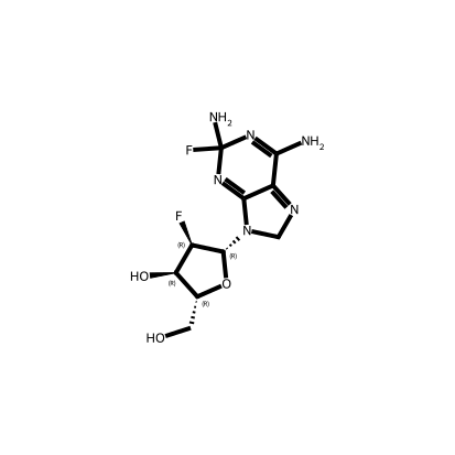 NC1=NC(N)(F)N=C2C1=NCN2[C@@H]1O[C@H](CO)[C@@H](O)[C@H]1F